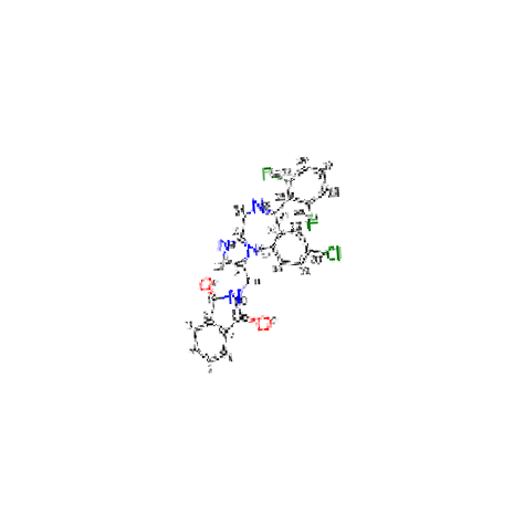 O=C1c2ccccc2C(=O)N1Cc1cnc2n1-c1ccc(Cl)cc1C(c1c(F)cccc1F)=NC2